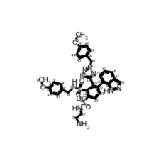 COc1ccc(CNS(=O)(=O)c2c(S(=O)(=O)NCCN)ccc(-c3cccc4cn[nH]c34)c2-c2nnn(Cc3ccc(OC)cc3)n2)cc1